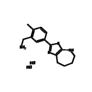 Cc1ccc(-c2nc3c(s2)NCCCC3)cc1CN.Cl.Cl